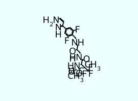 COC(=O)N[C@H](C(=O)NC[C@@H](O)CNCc1c(F)cc(C(=N)/C=C\N)cc1F)C(C)(C)C(F)(F)F